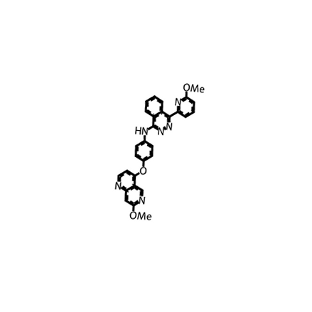 COc1cc2nccc(Oc3ccc(Nc4nnc(-c5cccc(OC)n5)c5ccccc45)cc3)c2cn1